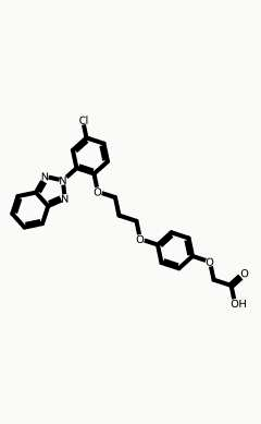 O=C(O)COc1ccc(OCCCOc2ccc(Cl)cc2-n2nc3ccccc3n2)cc1